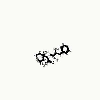 NC(=O)[C@@H](C[C@H](O)[C@@H](N)Cc1ccccc1)C1(O)CCSCC1